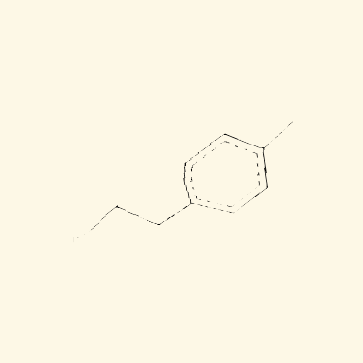 Cc1ccc(CCC(C)C)cc1